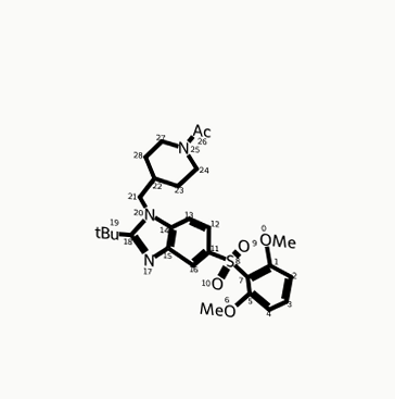 COc1cccc(OC)c1S(=O)(=O)c1ccc2c(c1)nc(C(C)(C)C)n2CC1CCN(C(C)=O)CC1